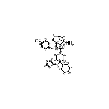 CN1C2CCC1([C@@H](Cc1ccc(Cl)cc1)C(=O)N1CCC(Cn3cncn3)(C3CCCCC3)CC1)CC(N)C2